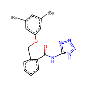 CC(C)(C)c1cc(OCc2ccccc2C(=O)Nc2nnn[nH]2)cc(C(C)(C)C)c1